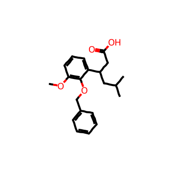 COc1cccc(C(CC(=O)O)CC(C)C)c1OCc1ccccc1